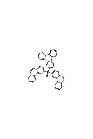 O=P(c1ccc2ccc3ccccc3c2c1)(c1ccc2ccc3ccccc3c2c1)c1ccc2c3ccccc3c3ccccc3c2c1